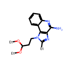 CCOC(CCn1c(CC)nc2c(N)nc3ccccc3c21)OCC